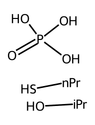 CC(C)O.CCCS.O=P(O)(O)O